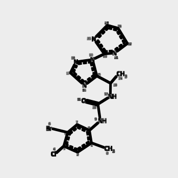 Cc1cc(Cl)c(Br)cc1NC(=O)NC(C)c1ncnn1-c1ncccn1